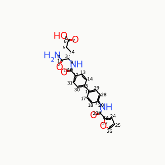 NC(=O)[C@H](CCC(=O)O)NC(=O)c1ccc(-c2ccc(NC(=O)c3ccco3)cc2)cc1